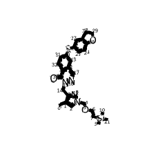 Cc1cn(COCC[Si](C)(C)C)nc1Cn1ncc2cc(Sc3ccc4c(c3)CCO4)ccc2c1=O